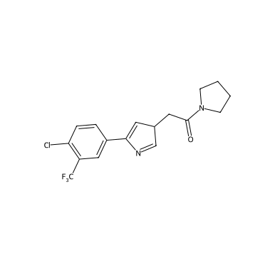 O=C(CC1C=NC(c2ccc(Cl)c(C(F)(F)F)c2)=C1)N1CCCC1